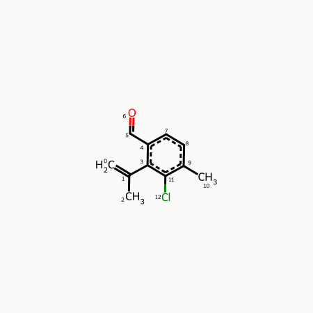 C=C(C)c1c(C=O)ccc(C)c1Cl